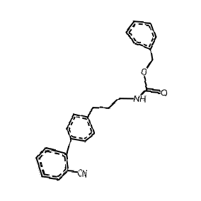 N#Cc1ccccc1-c1ccc(CCCNC(=O)OCc2ccccc2)cc1